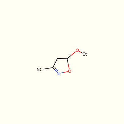 CCOC1CC(C#N)=NO1